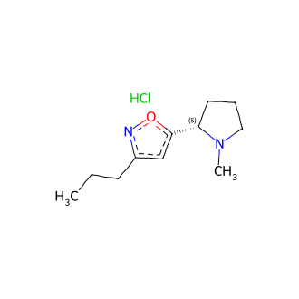 CCCc1cc([C@@H]2CCCN2C)on1.Cl